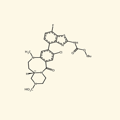 CN1CC[C@H]2CN(C(=O)O)CCN2C(=O)c2cc(Cl)c(-c3ccc(F)c4sc(NC(=O)OC(C)(C)C)nc34)cc21